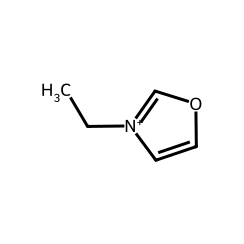 CC[n+]1ccoc1